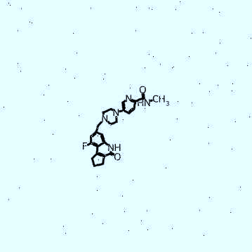 CNC(=O)c1ccc(N2CCN(Cc3cc(F)c4c5c(c(=O)[nH]c4c3)CCC5)CC2)cn1